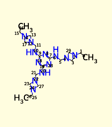 CCN1CN(CNc2nc(NCN3CN(CC)C3)nc(NCN3CN(CC)C3)n2)C1